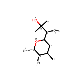 CC(=O)O[C@@H](C1C[C@@H](C)[C@@H](C(C)C)[C@H](C(C)C)O1)C(C)(C)O